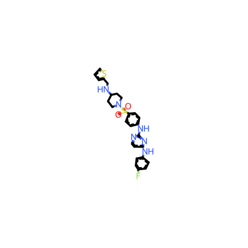 O=S(=O)(c1ccc(Nc2nccc(Nc3ccc(F)cc3)n2)cc1)N1CCC(NCc2cccs2)CC1